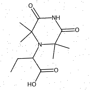 CCC(C(=O)O)N1C(C)(C)C(=O)NC(=O)C1(C)C